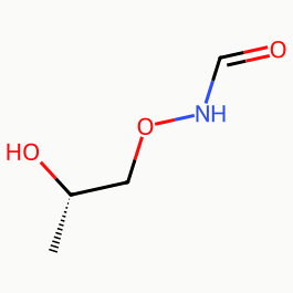 C[C@H](O)CONC=O